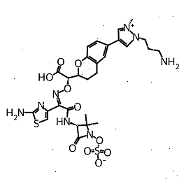 C[n+]1cc(-c2ccc3c(c2)CCC([C@@H](O/N=C(\C(=O)N[C@@H]2C(=O)N(OS(=O)(=O)[O-])C2(C)C)c2csc(N)n2)C(=O)O)O3)cn1CCCN